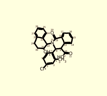 Cc1cc(Cl)ccc1C1C(C(=O)O)c2ccccc2C(=O)N1C1c2ccccc2CCC1O